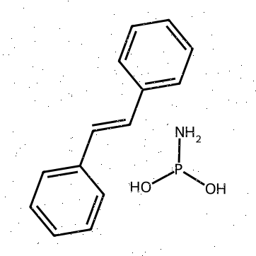 C(=Cc1ccccc1)c1ccccc1.NP(O)O